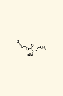 C=CCC(CCCC)C(=O)OCN=C=O